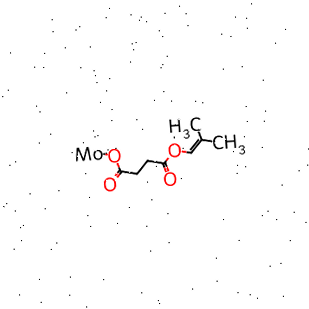 CC(C)=COC(=O)CCC(=O)[O][Mo]